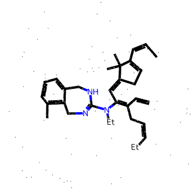 C=C/C(C/C=C\CC)=C(\C=C1/CC=C(/C=C\C)C1(C)C)N(CC)C1=NCc2c(C)cccc2CN1